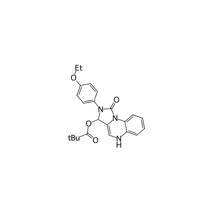 CCOc1ccc(N2C(=O)N3C(=CNc4ccccc43)C2OC(=O)C(C)(C)C)cc1